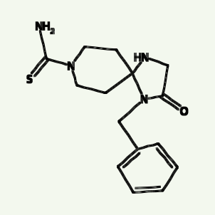 NC(=S)N1CCC2(CC1)NCC(=O)N2Cc1ccccc1